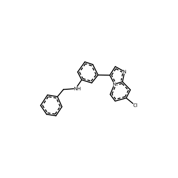 Clc1ccn2c(-c3cccc(NCc4ccccc4)c3)cnc2c1